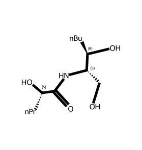 CCCC[C@@H](O)[C@H](CO)NC(=O)[C@@H](O)CCC